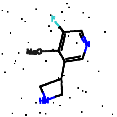 COc1c(F)cncc1C1CNC1